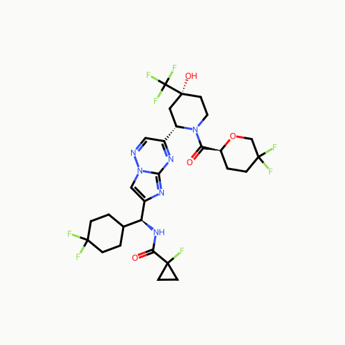 O=C([C@@H]1CCC(F)(F)CO1)N1CC[C@](O)(C(F)(F)F)C[C@H]1c1cnn2cc([C@@H](NC(=O)C3(F)CC3)C3CCC(F)(F)CC3)nc2n1